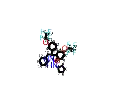 O=C(NC1CCCC1)NC(Cc1ccccc1)(c1cccc(OC(F)(F)C(F)F)c1)c1cccc(OC(F)(F)C(F)F)c1